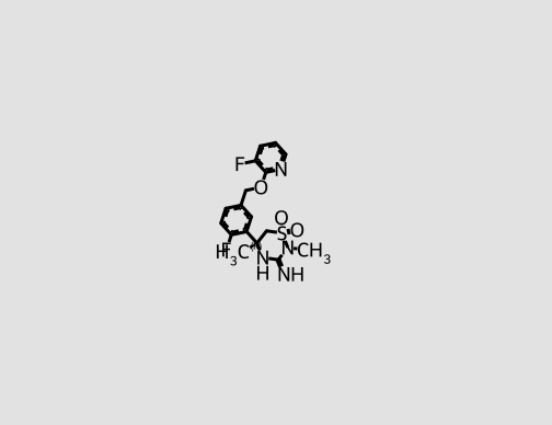 CN1C(=N)N[C@](C)(c2cc(COc3ncccc3F)ccc2F)CS1(=O)=O